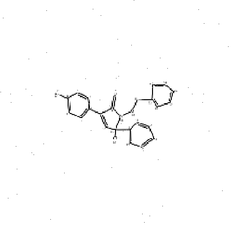 O=C1C(c2ccc(Br)cc2)=CC(O)(c2ccccc2)N1OCc1ccccc1